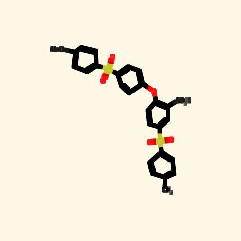 COc1ccc(S(=O)(=O)c2ccc(Oc3ccc(S(=O)(=O)c4ccc(C)cc4)cc3S(=O)(=O)O)cc2)cc1